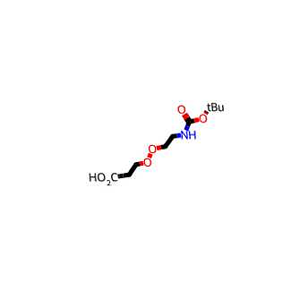 CC(C)(C)OC(=O)NCCOOCCC(=O)O